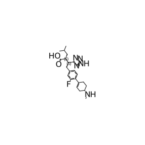 CNC1CC=C(c2ccc(C[C@H](c3nn[nH]n3)[C@H](CC(C)C)C(=O)O)cc2F)CC1